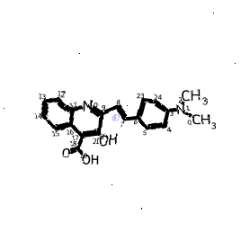 CN(C)c1ccc(/C=C/c2nc3ccccc3c(C(=O)O)c2O)cc1